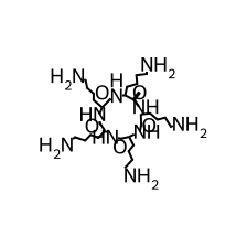 NCCCCC1NC(=O)C(CCCCN)NC(=O)C(CCCCN)NC(=O)C(CCCCN)NC(=O)C(CCCCN)NC1=O